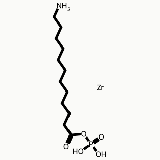 NCCCCCCCCCCCC(=O)OP(=O)(O)O.[Zr]